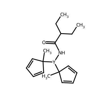 CCC(CC)C(=O)[NH][Y]([C]1(C)C=CC=C1)[C]1(C)C=CC=C1